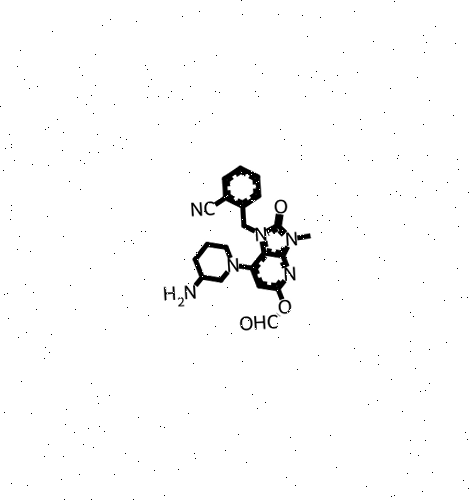 Cn1c(=O)n(Cc2ccccc2C#N)c2c(N3CCCC(N)C3)cc(OC=O)nc21